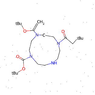 C=C(OC(C)(C)C)N1CCN(C(=O)CC(C)(C)C)CCNCCN(C(=O)OC(C)(C)C)CC1